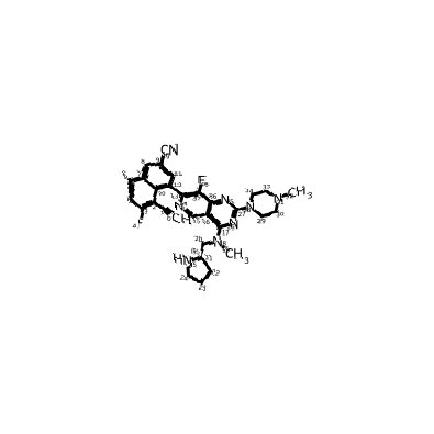 C#Cc1c(F)ccc2cc(C#N)cc(-c3ncc4c(N(C)C[C@H]5CCCN5)nc(N5CCN(C)CC5)nc4c3F)c12